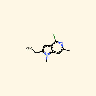 Cc1cc2c(cc(CC=O)n2C)c(Cl)n1